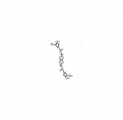 CC1(CCC(=O)OCC(C)(C)C2OCC3(CO2)COC(C(C)(C)COC(=O)CCC2(C)C=CC(O)=C(C(C)(C)C)C2)OC3)C=CC(O)=C(C(C)(C)C)C1